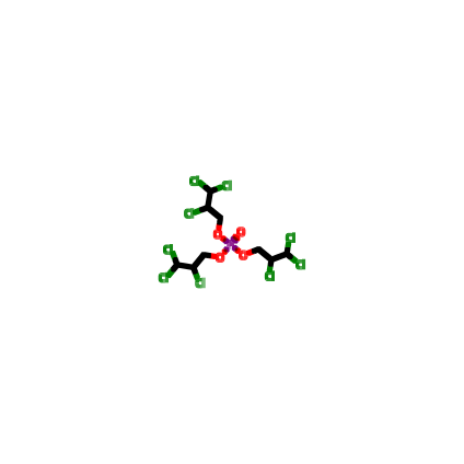 O=P(OCC(Cl)C(Cl)Cl)(OCC(Cl)C(Cl)Cl)OCC(Cl)C(Cl)Cl